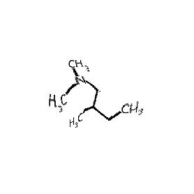 CCC(C)[CH]N(C)C